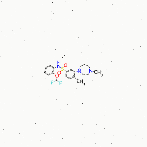 Cc1ccc(S(=O)(=O)Nc2ccccc2OC(F)F)cc1N1CCCN(C)CC1